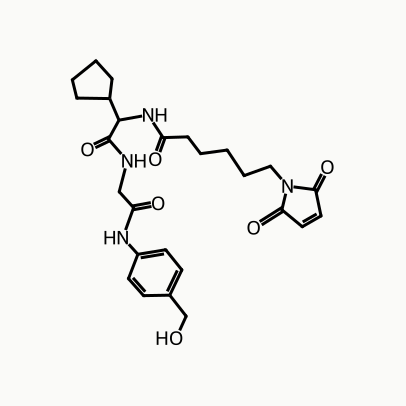 O=C(CNC(=O)C(NC(=O)CCCCCN1C(=O)C=CC1=O)C1CCCC1)Nc1ccc(CO)cc1